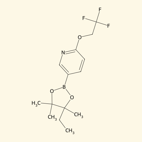 CCC1(C)OB(c2ccc(OCC(F)(F)F)nc2)OC1(C)C